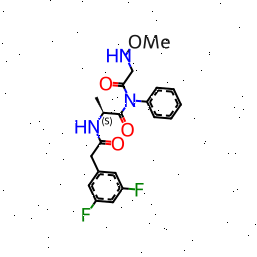 CONCC(=O)N(C(=O)[C@H](C)NC(=O)Cc1cc(F)cc(F)c1)c1ccccc1